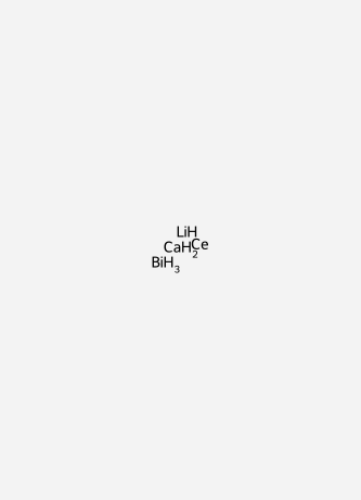 [BiH3].[CaH2].[Ce].[LiH]